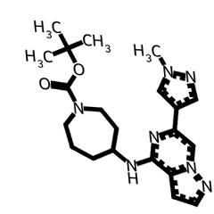 Cn1cc(-c2cn3nccc3c(NC3CCCN(C(=O)OC(C)(C)C)CC3)n2)cn1